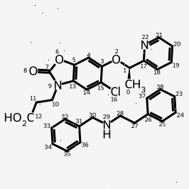 C[C@@H](Oc1cc2oc(=O)n(CCC(=O)O)c2cc1Cl)c1ccccn1.c1ccc(CCNCc2ccccc2)cc1